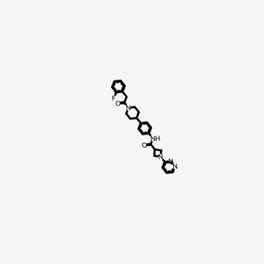 O=C(Nc1ccc(C2CCN(C(=O)Cc3ccccc3F)CC2)cc1)C1CN(c2cccnn2)C1